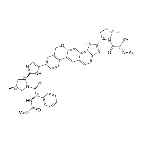 COC(=O)N[C@@H](C(=O)N1C[C@@H](C)C[C@H]1c1ncc(-c2ccc3c(c2)COc2cc4c(ccc5nc([C@@H]6CC[C@H](C)N6C(=O)[C@@H](NC(C)=O)C(C)C)[nH]c54)cc2-3)[nH]1)c1ccccc1